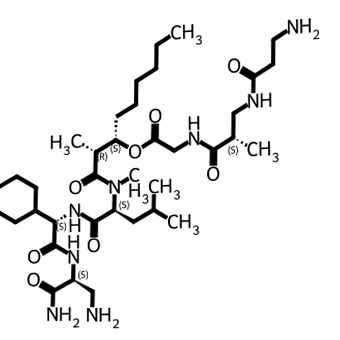 CCCCCC[C@H](OC(=O)CNC(=O)[C@@H](C)CNC(=O)CCN)[C@@H](C)C(=O)N(C)[C@@H](CC(C)C)C(=O)N[C@H](C(=O)N[C@@H](CN)C(N)=O)C1CCCCC1